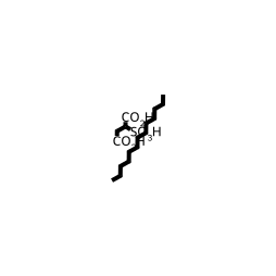 CCCCCCCCCCCCC.O=C(O)CC(C(=O)O)S(=O)(=O)O